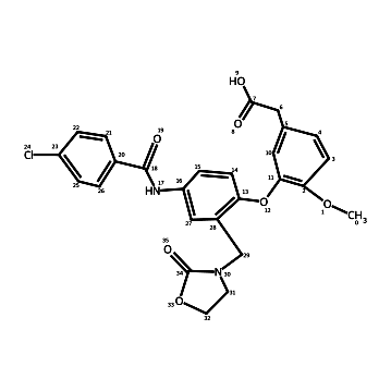 COc1ccc(CC(=O)O)cc1Oc1ccc(NC(=O)c2ccc(Cl)cc2)cc1CN1CCOC1=O